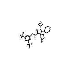 O=C(NCc1cc(C(F)(F)F)cc(C(F)(F)F)c1)C1(C(CC2COC2)C2CCOCC2)CCNC1